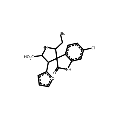 CC(C)(C)CC1NC(C(=O)O)C(c2ccco2)C12C(=O)Nc1cc(Cl)ccc12